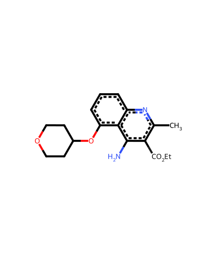 CCOC(=O)c1c(C)nc2cccc(OC3CCOCC3)c2c1N